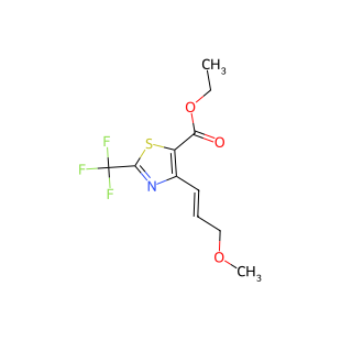 CCOC(=O)c1sc(C(F)(F)F)nc1C=CCOC